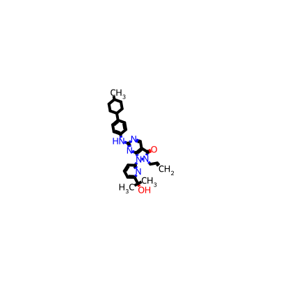 C=CCn1c(=O)c2cnc(Nc3ccc(C4CCC(C)CC4)cc3)nc2n1-c1cccc(C(C)(C)O)n1